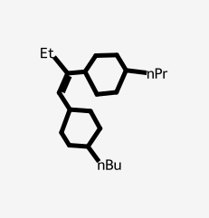 CCCCC1CCC(C=C(CC)C2CCC(CCC)CC2)CC1